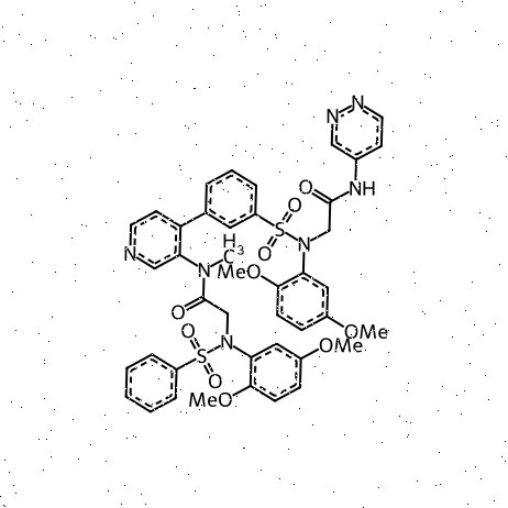 COc1ccc(OC)c(N(CC(=O)Nc2ccnnc2)S(=O)(=O)c2cccc(-c3ccncc3N(C)C(=O)CN(c3cc(OC)ccc3OC)S(=O)(=O)c3ccccc3)c2)c1